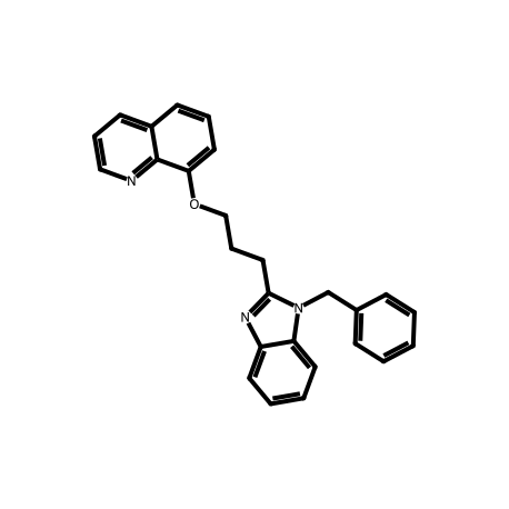 c1ccc(Cn2c(CCCOc3cccc4cccnc34)nc3ccccc32)cc1